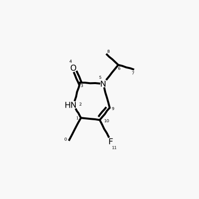 CC1NC(=O)N(C(C)C)C=C1F